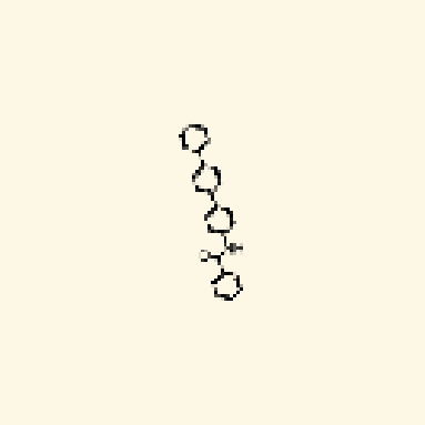 O=C(Nc1ccc(-c2ccc(-c3ccccc3)cc2)cc1)c1ccccc1